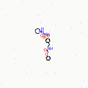 O=C(COc1ccccc1)NCCc1ccc(S(=O)(=O)NC(=O)NN2CCCCCC2)cc1